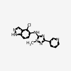 Cn1nc(-c2cccnc2)nc1Nc1ccc2[nH]ncc2c1Cl